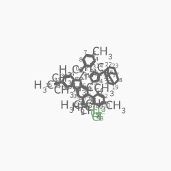 C/[C](c1ccc(C)cc1)=[Zr+2](/[C]1=CC(C2(C)C3CC4CC(C3)CC2C4)=CC1C)[CH]1c2ccc(C(C)(C)C)cc2-c2cc(C(C)(C)C)c(-c3c(C)cc(C)cc3C)cc21.[Cl-].[Cl-]